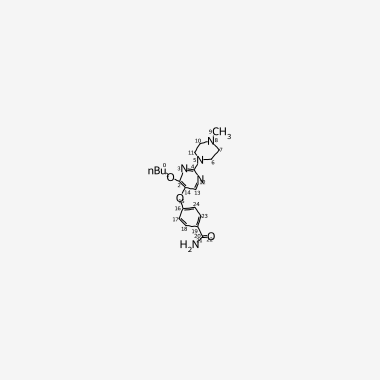 CCCCOc1nc(N2CCN(C)CC2)ncc1Oc1ccc(C(N)=O)cc1